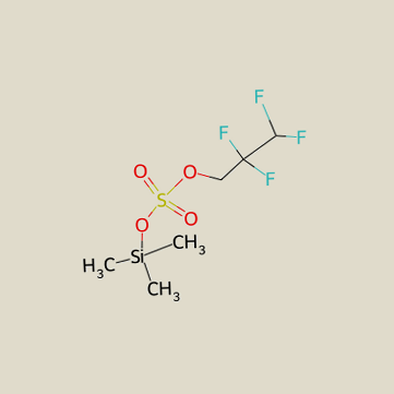 C[Si](C)(C)OS(=O)(=O)OCC(F)(F)C(F)F